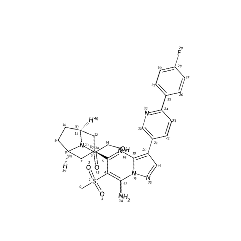 CS(=O)(=O)c1c([C@H]2C[C@H]3CC[C@@H](C2)N3C(=O)CO)nc2c(-c3ccc(-c4ccc(F)cc4)nc3)cnn2c1N